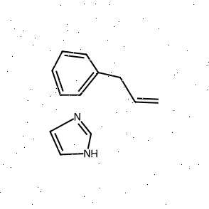 C=CCc1ccccc1.c1c[nH]cn1